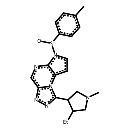 CCC1CN(C)CC1c1nnc2cnc3c(ccn3[S+]([O-])c3ccc(C)cc3)n12